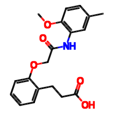 COc1ccc(C)cc1NC(=O)COc1ccccc1CCC(=O)O